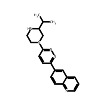 CC(C)C1CN(c2ccc(-c3ccc4ncccc4c3)nn2)CCN1